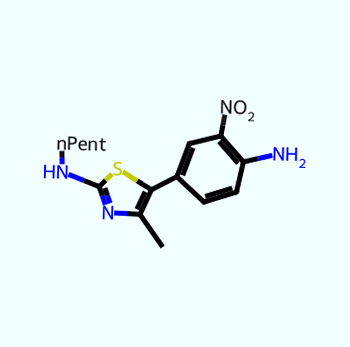 CCCCCNc1nc(C)c(-c2ccc(N)c([N+](=O)[O-])c2)s1